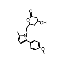 COc1ccc(-c2ccc(C)n2CCC2CC(O)CC(=O)O2)cc1